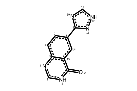 O=c1[nH]cnc2ccc(-c3nc[nH]n3)cc12